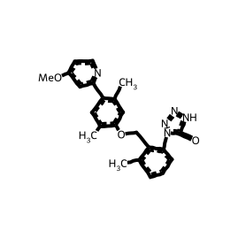 COc1ccnc(-c2cc(C)c(OCc3c(C)cccc3-n3nn[nH]c3=O)cc2C)c1